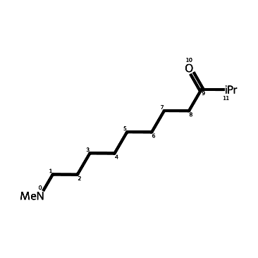 CNCCCCCCCCC(=O)C(C)C